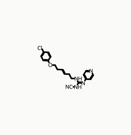 N#CN/C(=N/c1ccncc1)NCCC=CCCOc1ccc(Cl)cc1